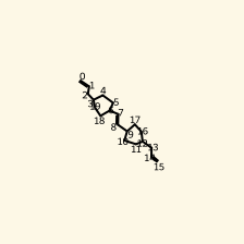 C=CCC1CCC(C=CC2CCC(CC=C)CC2)CC1